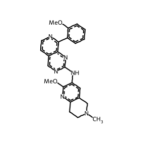 COc1ccccc1-c1nccc2cnc(Nc3cc4c(nc3OC)CCN(C)C4)nc12